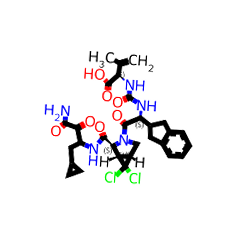 C=C(C)[C@H](NC(=O)N[C@H](C(=O)N1C[C@H]2[C@@H]([C@H]1C(=O)NC(CC1CC1)C(=O)C(N)=O)C2(Cl)Cl)C1Cc2ccccc2C1)C(=O)O